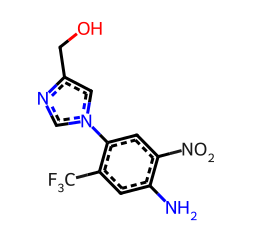 Nc1cc(C(F)(F)F)c(-n2cnc(CO)c2)cc1[N+](=O)[O-]